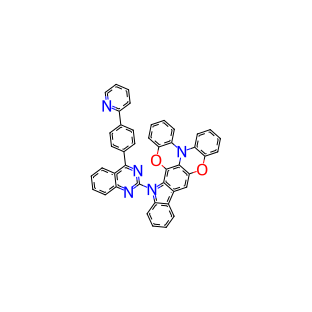 c1ccc(-c2ccc(-c3nc(-n4c5ccccc5c5cc6c7c(c54)Oc4ccccc4N7c4ccccc4O6)nc4ccccc34)cc2)nc1